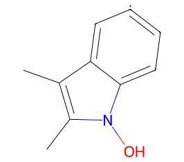 Cc1c(C)n(O)c2cc[c]cc12